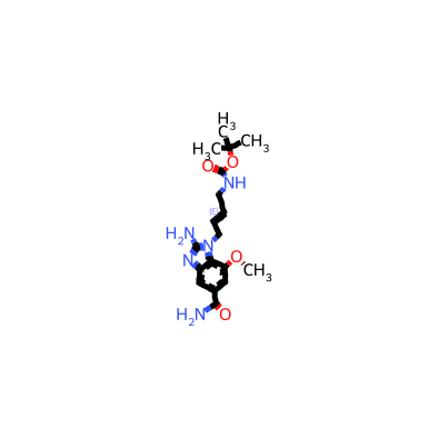 COc1cc(C(N)=O)cc2nc(N)n(C/C=C/CNC(=O)OC(C)(C)C)c12